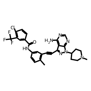 Cc1ccc(NC(=O)c2ccc(Cl)c(C(F)(F)F)c2)cc1C#Cc1nn(C2CCN(C)CC2)c2ncnc(N)c12